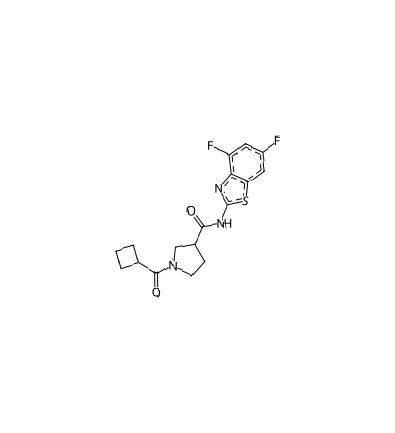 O=C(Nc1nc2c(F)cc(F)cc2s1)C1CCN(C(=O)C2CCC2)C1